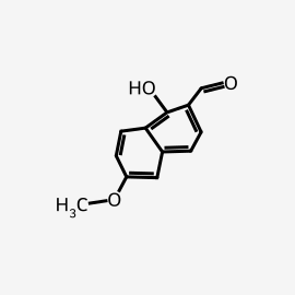 COc1ccc2c(O)c(C=O)ccc2c1